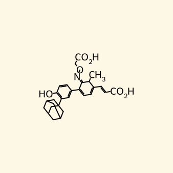 CC1C(C=CC(=O)O)=CC=C(c2ccc(O)c(C34CC5CC(CC(C5)C3)C4)c2)C1=NOCC(=O)O